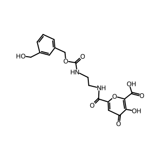 O=C(NCCNC(=O)c1cc(=O)c(O)c(C(=O)O)o1)OCc1cccc(CO)c1